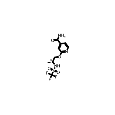 C[C@@H](COc1cc(C(N)=O)ccn1)NS(=O)(=O)C(F)(F)F